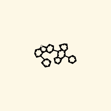 c1ccc(-c2c3ccccc3c(-c3ccc4oc5cccc(-c6ccccc6)c5c4c3)c3ccccc23)cc1